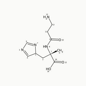 C[C@@](CC1C=NC=N1)(NC(=O)CCN)C(=O)O